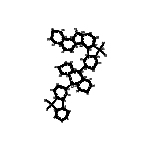 CC1(C)c2ccccc2-c2cc(-c3c4ccccc4c(-c4ccc5c(c4)-c4c(ccc6sc7c8ccccc8ccc7c46)C5(C)C)c4ccccc34)ccc21